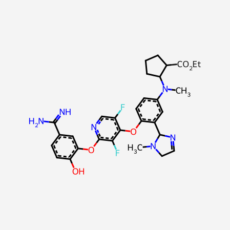 CCOC(=O)C1CCCC1N(C)c1ccc(Oc2c(F)cnc(Oc3cc(C(=N)N)ccc3O)c2F)c(C2N=CCN2C)c1